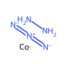 NN.[Co].[N-]=[N+]=[N-]